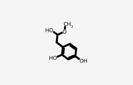 COC(O)Cc1[c]cc(O)cc1O